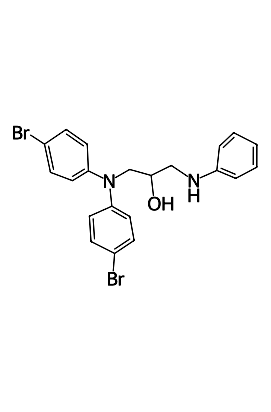 OC(CNc1ccccc1)CN(c1ccc(Br)cc1)c1ccc(Br)cc1